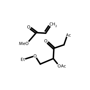 C=CC(=O)OC.CCOCC(OC(C)=O)C(=O)CC(C)=O